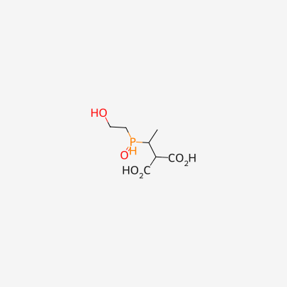 CC(C(C(=O)O)C(=O)O)[PH](=O)CCO